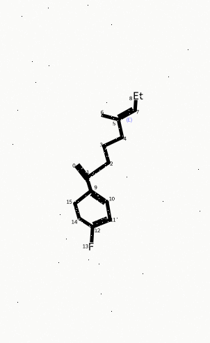 C=C(CCC/C(C)=C/CC)C1=CC=C(F)CC1